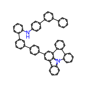 c1ccc(-c2cccc(-c3ccc(Nc4ccccc4-c4cccc(-c5ccc(-c6cc7c8c(c6)c6ccccc6n8-c6ccccc6-c6ccccc6-7)cc5)c4)cc3)c2)cc1